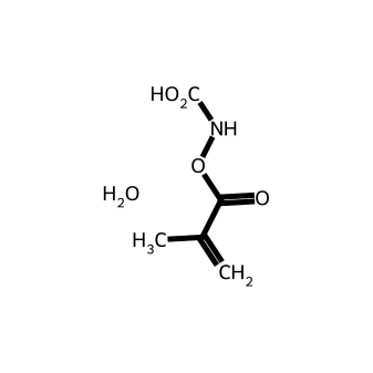 C=C(C)C(=O)ONC(=O)O.O